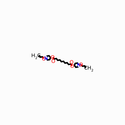 C=CCON1CCC(OC(=O)CCCCCCCCC(=O)OC2CCN(OCC=C)CC2)CC1